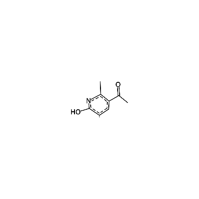 CC(=O)c1c[c]c(O)nc1C